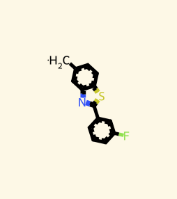 [CH2]c1ccc2sc(-c3cccc(F)c3)nc2c1